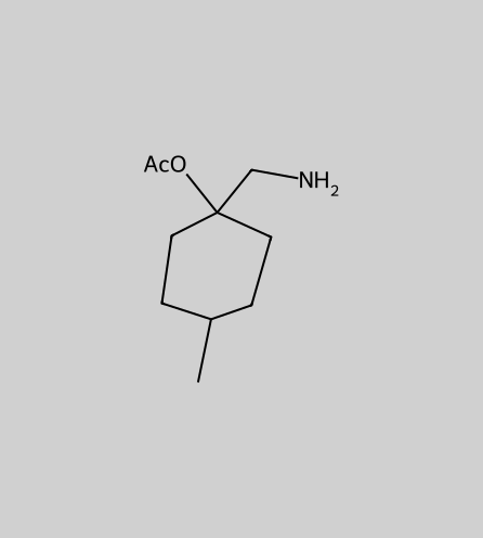 CC(=O)OC1(CN)CCC(C)CC1